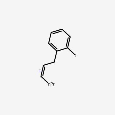 CCC/C=C\Cc1ccccc1I